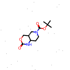 CC(C)(C)OC(=O)N1CCC2NC(=O)OCC2C1